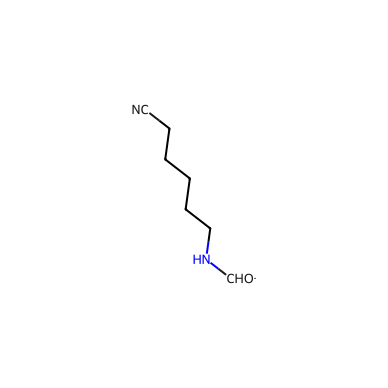 N#CCCCCCN[C]=O